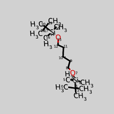 CC(C)(C)[Si](C)(C)OCC[CH]CCO[Si](C)(C)C(C)(C)C